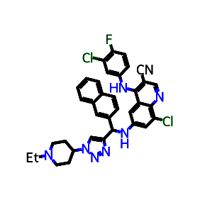 CCN1CCC(n2cc(C(Nc3cc(Cl)c4ncc(C#N)c(Nc5ccc(F)c(Cl)c5)c4c3)c3ccc4ccccc4c3)nn2)CC1